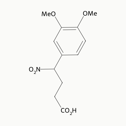 COc1ccc(C(CCC(=O)O)[N+](=O)[O-])cc1OC